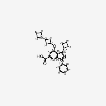 O=C(O)c1cc(OC2CC(N3CCC3)C2)c2c(C3CCC3)nn(-c3ccccc3)c2n1